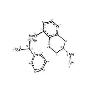 CCCN[C@@H]1CCc2c(cccc2OC)C1.CO[C@H](C(=O)O)c1ccccc1